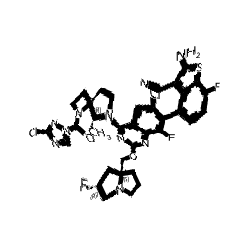 C[C@H]1N(c2nc(OC[C@@]34CCCN3C[C@H](F)C4)nc3c(F)c(-c4ccc(F)c5sc(N)c(C#N)c45)c(Cl)cc23)CC[C@@]12CCN2C(=O)n1cnc(Cl)n1